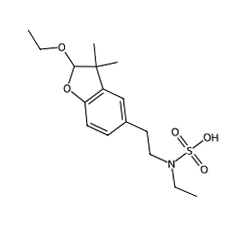 CCOC1Oc2ccc(CCN(CC)S(=O)(=O)O)cc2C1(C)C